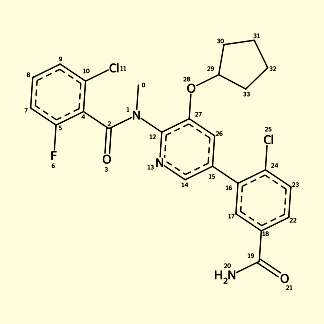 CN(C(=O)c1c(F)cccc1Cl)c1ncc(-c2cc(C(N)=O)ccc2Cl)cc1OC1CCCC1